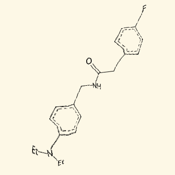 CCN(CC)c1ccc(CNC(=O)Cc2ccc(F)cc2)cc1